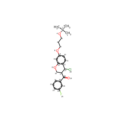 C[Si](C)(C)OCCCOc1ccc2c(c1)OCC(C(=O)c1cccc(F)c1)C2Cl